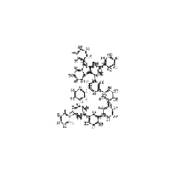 c1ccc(-c2cc(-c3ccccc3)nc(-c3cccc(-c4cccc(-c5cccc(-c6cccc(-c7nc(-c8ccccc8)nc8c7c7ccccc7n8-c7ccccc7)c6)c5)c4)c3)n2)cc1